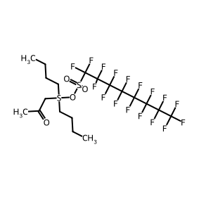 CCCCS(CCCC)(CC(C)=O)OS(=O)(=O)C(F)(F)C(F)(F)C(F)(F)C(F)(F)C(F)(F)C(F)(F)C(F)(F)C(F)(F)F